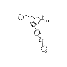 O=C(C[C@@H](CCCC1CCCCC1)c1nc(-c2ccc(N3CC(N4CCOCC4)C3)nc2)no1)NO